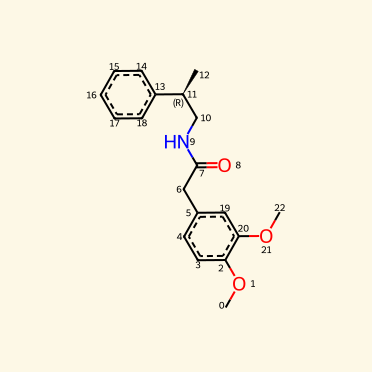 COc1ccc(CC(=O)NC[C@H](C)c2ccccc2)cc1OC